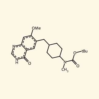 COc1cc2nc[nH]c(=O)c2cc1CC1CCC(N(C)C(=O)OC(C)(C)C)CC1